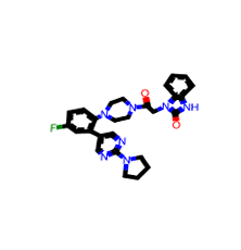 O=C(Cn1c(=O)[nH]c2ccccc21)N1CCN(c2ccc(F)cc2-c2cnc(N3CCCC3)nc2)CC1